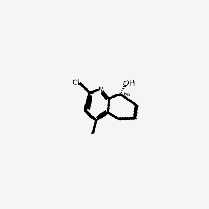 Cc1cc(Cl)nc2c1CCC[C@H]2O